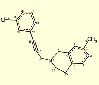 Cc1ccc2c(c1)CN(CC#Cc1cccc(Cl)c1)CC2